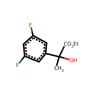 CCOC(=O)C(C)(O)c1cc(F)cc(F)c1